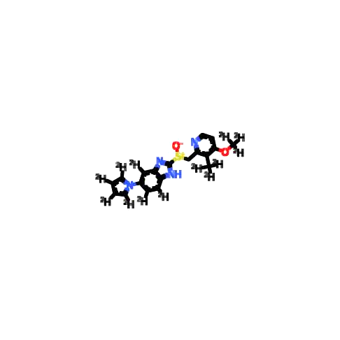 [2H]c1c(-n2c([2H])c([2H])c([2H])c2[2H])c([2H])c2nc([S+]([O-])Cc3nccc(OC([2H])([2H])[2H])c3C([2H])([2H])[2H])[nH]c2c1[2H]